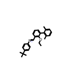 CCOc1c(/C=N/c2ccc(C(C)(C)C)cc2)cccc1-c1c(C)cccc1C